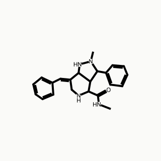 CNC(=O)C1NCC(=Cc2ccccc2)C2NN(C)C(c3ccccc3)C12